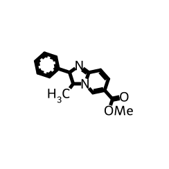 COC(=O)C1=CN2C(=NC(c3ccccc3)C2C)C=C1